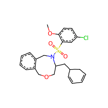 COc1ccc(Cl)cc1S(=O)(=O)N1Cc2ccccc2COCC1CC1C=CC=CC1